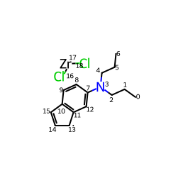 CCCN(CCC)c1ccc2c(c1)[CH]C=C2.[Cl][Zr][Cl]